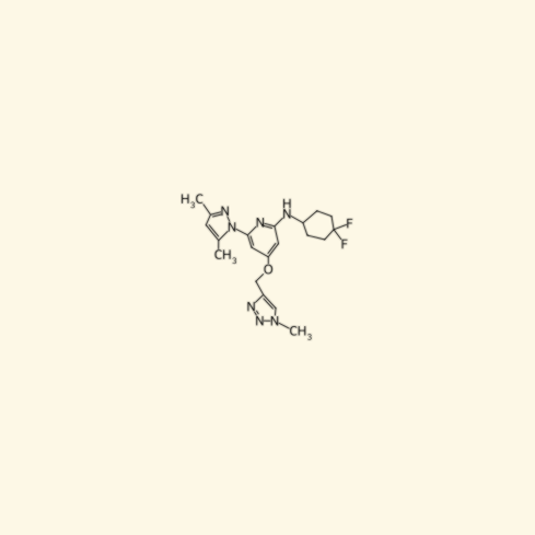 Cc1cc(C)n(-c2cc(OCc3cn(C)nn3)cc(NC3CCC(F)(F)CC3)n2)n1